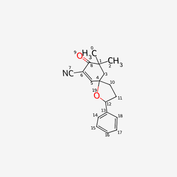 CC1(C)CC2(C=C(C#N)C1=O)CCC(c1ccccc1)O2